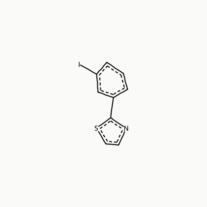 Ic1cccc(-c2nccs2)c1